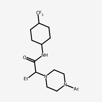 CCC(C(=O)NC1CCC(C(F)(F)F)CC1)N1CCN(C(C)=O)CC1